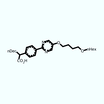 CCCCCCCCCCC(C(=O)O)c1ccc(-c2ncc(OCCCCOCCCCCC)cn2)cc1